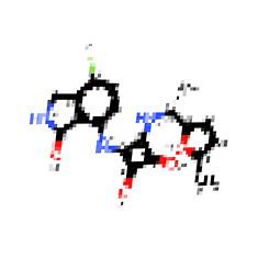 CCC[C@@H](Nc1c(Nc2ccc(F)c3c2C(=O)NC3)c(=O)c1=O)c1ccc(C)o1